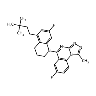 Cc1nnc2nc(N3CCCc4c(CCC(C)(C)C(F)(F)F)cc(F)cc43)c3cc(F)ccc3n12